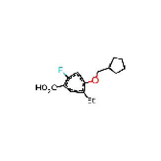 CCc1cc(C(=O)O)c(F)cc1OCC1CCCC1